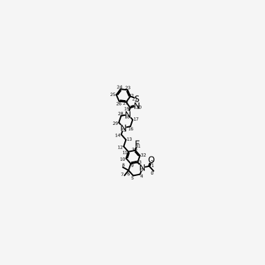 CC(=O)N1CCC(C)(C)c2cc(CCCN3CCN(c4nsc5ccccc45)CC3)c(F)cc21